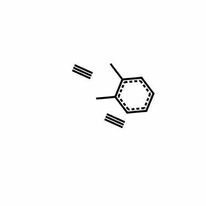 C#C.C#C.Cc1ccccc1C